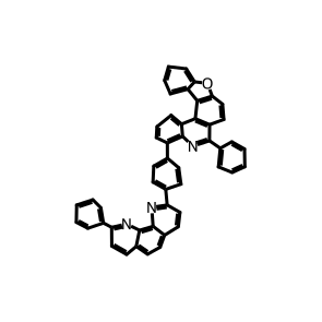 c1ccc(-c2ccc3ccc4ccc(-c5ccc(-c6cccc7c6nc(-c6ccccc6)c6ccc8oc9ccccc9c8c67)cc5)nc4c3n2)cc1